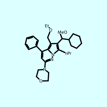 CCCc1c(C(OC)C2CCCCC2)c(COCC)c2c(-c3ccccc3)cc(N3CCOCC3)nn12